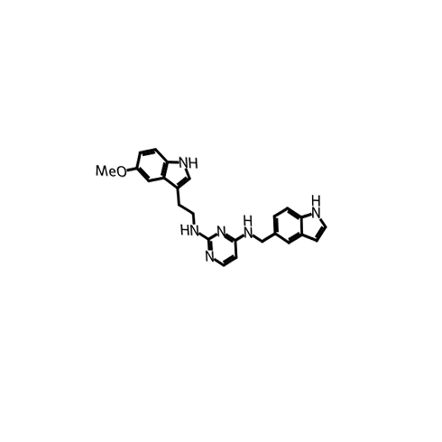 COc1ccc2[nH]cc(CCNc3nccc(NCc4ccc5[nH]ccc5c4)n3)c2c1